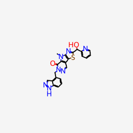 Cn1c2nc(C(O)c3ccccn3)sc2c2cnn(Cc3cccc4[nH]ncc34)c(=O)c21